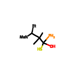 CCC(NC)C(C)(C)C(O)(P)S